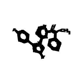 CC(Nc1nccc(-n2cc(Br)nc2-c2ccc(F)cc2)n1)c1ccccc1